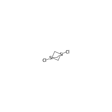 Cl[Si]12C[Si](Cl)(C1)C2